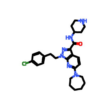 O=C(NC1CCNCC1)c1nn(CCc2ccc(Cl)cc2)c2nc(N3CCCCCC3)ccc12